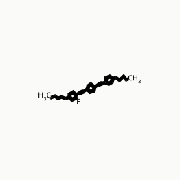 CCCCCCc1ccc(C#Cc2ccc(C#Cc3ccc(CCCCC)cc3)cc2)c(F)c1